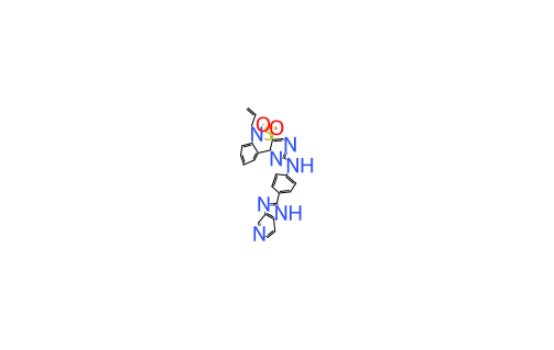 C=CCN1c2ccccc2-c2nc(Nc3ccc(-c4nc5cnccc5[nH]4)cc3)ncc2S1(=O)=O